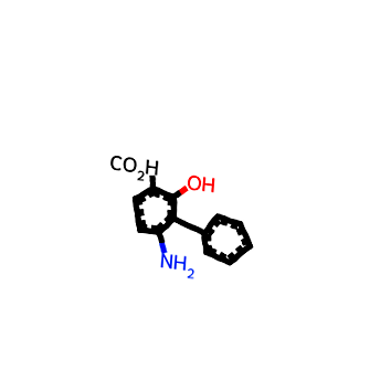 Nc1ccc(C(=O)O)c(O)c1-c1ccccc1